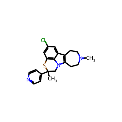 CN1CCc2c(n3c4c(cc(Cl)cc24)SC(C)(c2ccncc2)C3)CC1